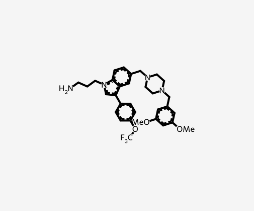 COc1cc(CN2CCN(Cc3ccc4c(c3)c(-c3ccc(OC(F)(F)F)cc3)cn4CCCN)CC2)cc(OC)c1